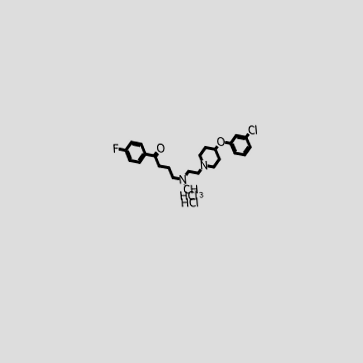 CN(CCCC(=O)c1ccc(F)cc1)CCN1CCC(Oc2cccc(Cl)c2)CC1.Cl.Cl